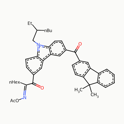 CCCCCC/C(=N\OC(C)=O)C(=O)c1ccc2c(c1)c1cc(C(=O)c3ccc4c(c3)-c3ccccc3C4(C)C)ccc1n2CC(CC)CCCC